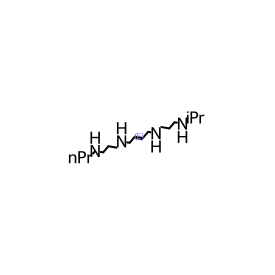 CCCNCCCNC/C=C/CNCCCNC(C)C